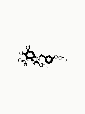 COc1cccc(Cn2c(C)nc3c([N+](=O)[O-])c(Cl)c(Cl)cc32)c1